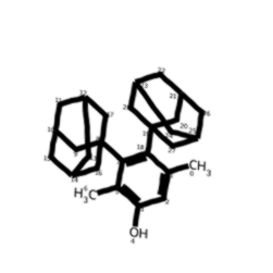 Cc1cc(O)c(C)c(C23CC4CC(CC(C4)C2)C3)c1C12CC3CC(CC(C3)C1)C2